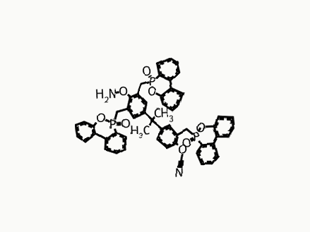 CC(C)(c1ccc(OC#N)c(CP2(=O)Oc3ccccc3-c3ccccc32)c1)c1cc(CP2(=O)Oc3ccccc3-c3ccccc32)c(ON)c(CP2(=O)Oc3ccccc3-c3ccccc32)c1